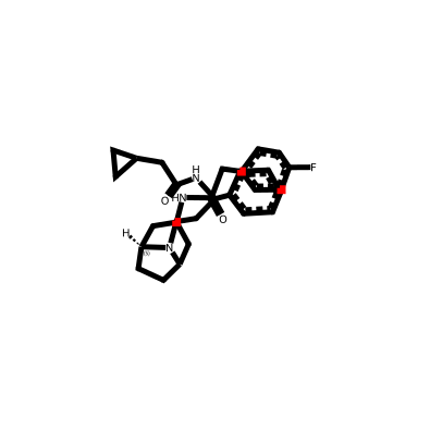 O=C(Cc1ccc(F)cc1)NC1CC2CC[C@@H](C1)N2CCC(NC(=O)CC1CC1)c1ccccc1